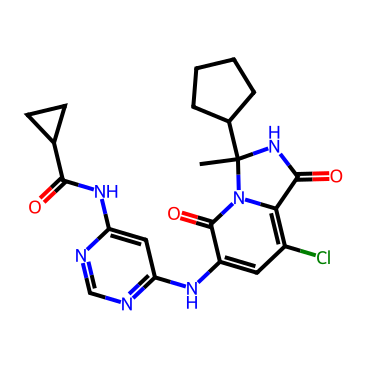 CC1(C2CCCC2)NC(=O)c2c(Cl)cc(Nc3cc(NC(=O)C4CC4)ncn3)c(=O)n21